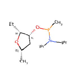 CC[C@H]1O[C@@H](C)C[C@H]1OP(C)N(C(C)C)C(C)C